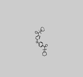 CC(C)(C(=O)c1ccc(Oc2ccc(C(=O)C(C)(C)N3CCCCC3)cc2)cc1)N1CCCCC1